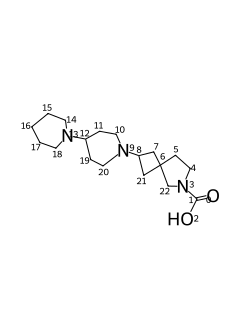 O=C(O)N1CCC2(CC(N3CCC(N4CCCCC4)CC3)C2)C1